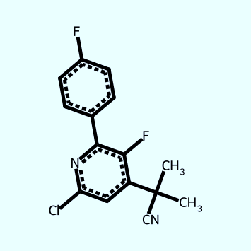 CC(C)(C#N)c1cc(Cl)nc(-c2ccc(F)cc2)c1F